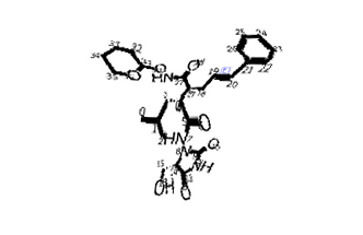 CC(C)C[C@@H](C(=O)NN1C(=O)NC(=O)[C@@H]1CO)[C@H](C/C=C/c1ccccc1)C(=O)NOC1CCCCO1